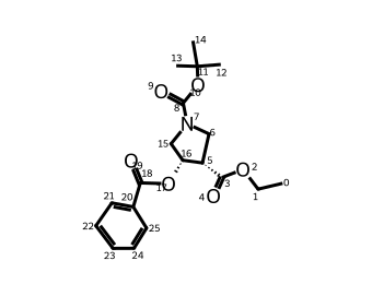 CCOC(=O)[C@H]1CN(C(=O)OC(C)(C)C)C[C@H]1OC(=O)c1ccccc1